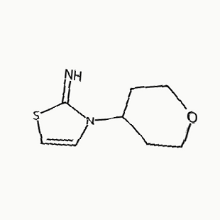 N=c1sccn1C1CCOCC1